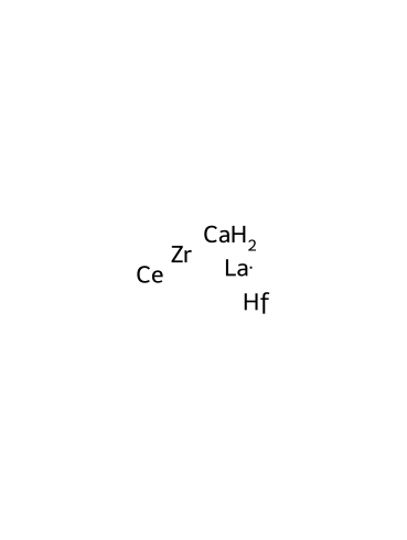 [CaH2].[Ce].[Hf].[La].[Zr]